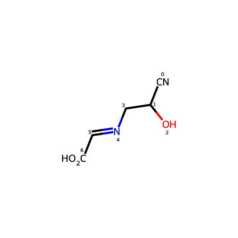 N#CC(O)CN=CC(=O)O